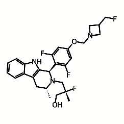 C[C@@H]1Cc2c([nH]c3ccccc23)[C@@H](c2c(F)cc(OCN3CC(CF)C3)cc2F)N1C[C@](C)(F)CO